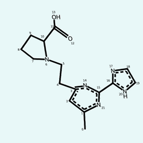 Cc1cc(CCN2CCCC2C(=O)O)nc(-c2ncc[nH]2)n1